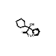 O=C(O)C(O)(c1ccco1)C1CCCCC1